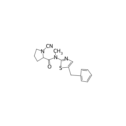 CN(C(=O)C1CCCN1C#N)c1ncc(Cc2ccccc2)s1